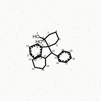 OC1(O)CCCCC1(c1ccccc1)C(c1ccccc1)C1CCCCC1